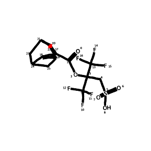 O=C(OC(CS(=O)(=O)O)(C(F)(F)F)C(F)(F)F)C1=C2C3CC(C1)CC2C3